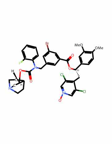 COc1ccc([C@H](Cc2c(Cl)c[n+]([O-])cc2Cl)OC(=O)c2cc(Br)cc(CN(C(=O)O[C@H]3CN4CCC3CC4)c3ccccc3F)c2)cc1OC